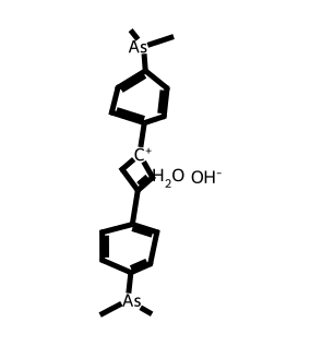 C[As](C)c1ccc(C2=C[C+](c3ccc([As](C)C)cc3)C2)cc1.O.[OH-]